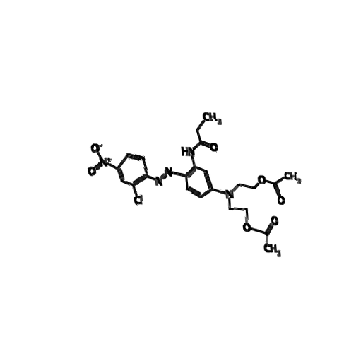 CCC(=O)Nc1cc(N(CCOC(C)=O)CCOC(C)=O)ccc1N=Nc1ccc([N+](=O)[O-])cc1Cl